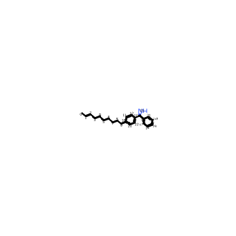 CCCCCCCCCCc1ccc(C(=N)c2ccccc2)cc1